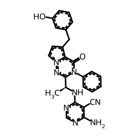 C[C@H](Nc1ncnc(N)c1C#N)c1nn2ccc(Cc3cccc(O)c3)c2c(=O)n1-c1ccccc1